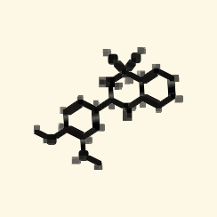 COc1ccc(C2Nc3ccccc3S(=O)(=O)N2)cc1OC